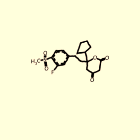 CS(=O)(=O)c1ccc(CCC2(C3CCCC3)CC(=O)CC(=O)O2)cc1F